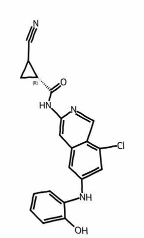 N#CC1C[C@H]1C(=O)Nc1cc2cc(Nc3ccccc3O)cc(Cl)c2cn1